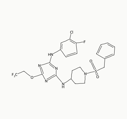 O=S(=O)(Cc1ccccc1)N1CCC(Nc2nc(Nc3ccc(F)c(Cl)c3)nc(OCC(F)(F)F)n2)CC1